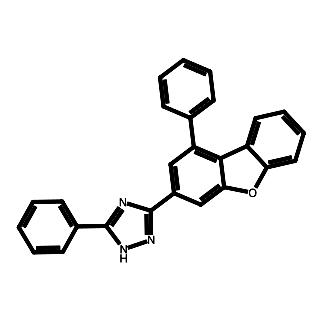 c1ccc(-c2nc(-c3cc(-c4ccccc4)c4c(c3)oc3ccccc34)n[nH]2)cc1